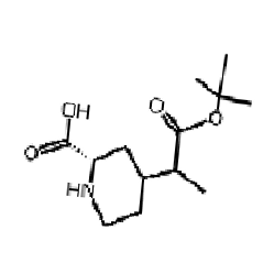 CC(C(=O)OC(C)(C)C)C1CCN[C@H](C(=O)O)C1